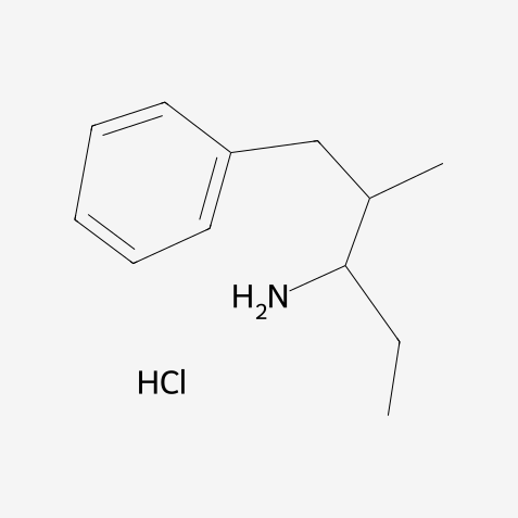 CCC(N)C(C)Cc1ccccc1.Cl